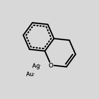 C1=COc2ccccc2C1.[Ag].[Au]